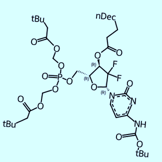 CCCCCCCCCCCCC(=O)O[C@@H]1[C@@H](COP(=O)(OCOC(=O)CC(C)(C)C)OCOC(=O)CC(C)(C)C)O[C@@H](n2ccc(NC(=O)OC(C)(C)C)nc2=O)C1(F)F